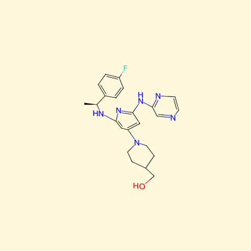 C[C@H](Nc1cc(N2CCC(CO)CC2)cc(Nc2cnccn2)n1)c1ccc(F)cc1